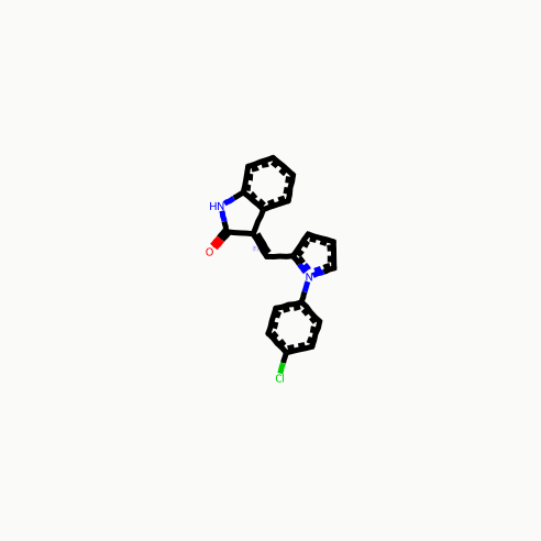 O=C1Nc2ccccc2/C1=C\c1cccn1-c1ccc(Cl)cc1